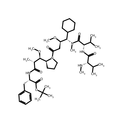 CN[C@H](C(=O)N[C@H](C(=O)N(C)[C@@H](C1CCCCC1)[C@@H](CC(=O)N1CCC[C@H]1[C@H](OC)[C@@H](C)C(=O)N[C@@H](Cc1ccccc1)C(=O)OC(C)(C)C)OC)C(C)C)C(C)C